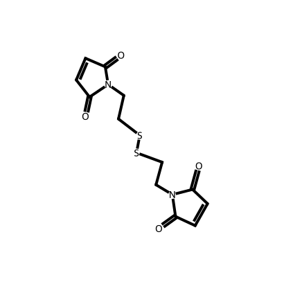 O=C1C=CC(=O)N1CCSSCCN1C(=O)C=CC1=O